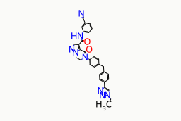 CCn1cc(-c2ccc(Cc3ccc(N4CCn5ncc(C(=O)Nc6cccc(C#N)c6)c5C4=O)cc3)cc2)nn1